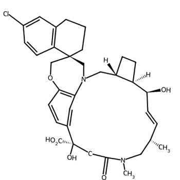 C[C@H]1/C=C/[C@H](O)[C@@H]2CC[C@H]2CN2C[C@@]3(CCCc4cc(Cl)ccc43)COc3ccc(cc32)[C@@](O)(C(=O)O)CC(=O)N(C)C1